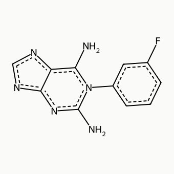 Nc1nc2ncnc-2c(N)n1-c1cccc(F)c1